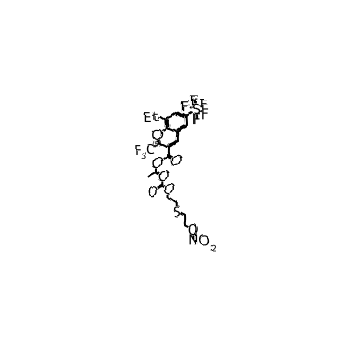 CCc1cc(S(F)(F)(F)(F)F)cc2c1O[C@H](C(F)(F)F)C(C(=O)OC(C)OC(=O)OCCSCCO[N+](=O)[O-])=C2